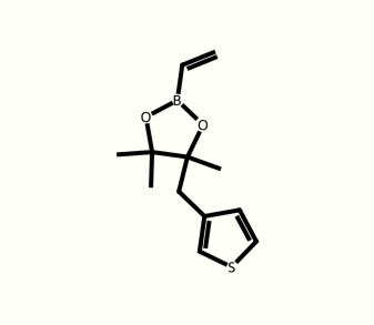 C=CB1OC(C)(C)C(C)(Cc2ccsc2)O1